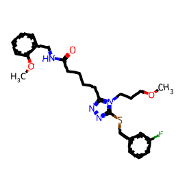 COCCCn1c(CCCCC(=O)NCc2ccccc2OC)nnc1SCc1cccc(F)c1